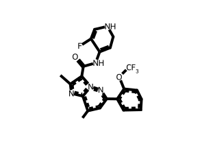 Cc1nc2c(C)cc(-c3ccccc3OC(F)(F)F)nn2c1C(=O)NC1=CCNC=C1F